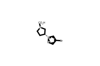 O=C(O)N1CC[C@@H](n2cc(Br)cn2)C1